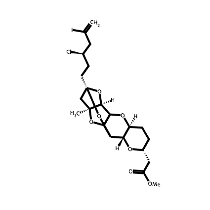 C=C(I)C[C@H](Cl)CC[C@@]12C[C@]3(C)OC4C(O1)[C@H]1O[C@@H](CC(=O)OC)CC[C@@H]1OC4[C@@H]3O2